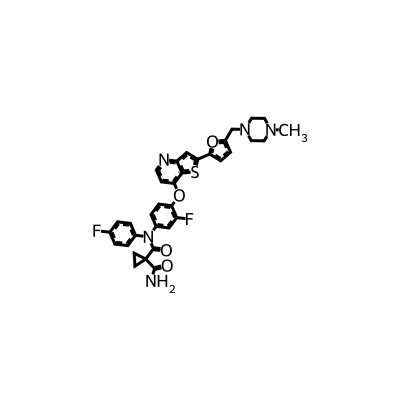 CN1CCN(Cc2ccc(-c3cc4nccc(Oc5ccc(N(C(=O)C6(C(N)=O)CC6)c6ccc(F)cc6)cc5F)c4s3)o2)CC1